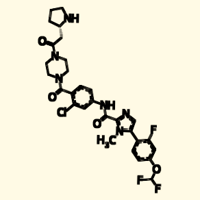 Cn1c(-c2ccc(OC(F)F)cc2F)cnc1C(=O)Nc1ccc(C(=O)N2CCN(C(=O)C[C@@H]3CCCN3)CC2)c(Cl)c1